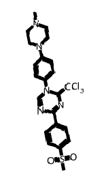 CN1CCN(c2ccc(N3C=NC(c4ccc(S(C)(=O)=O)cc4)=NC3C(Cl)(Cl)Cl)cc2)CC1